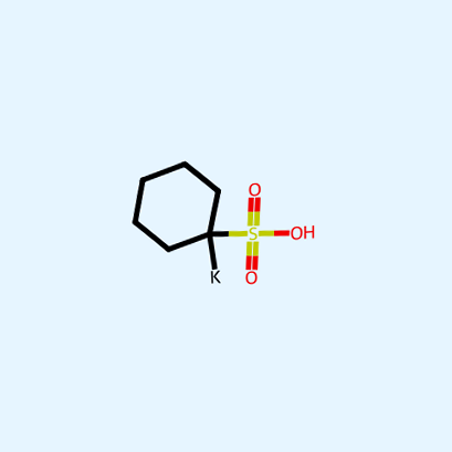 O=S(=O)(O)[C]1([K])CCCCC1